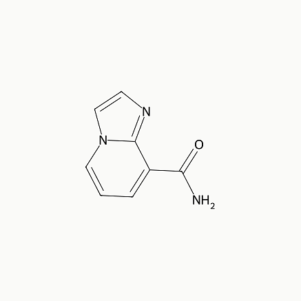 NC(=O)c1cccn2ccnc12